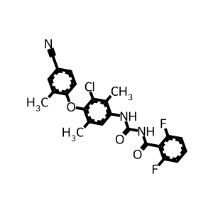 Cc1cc(C#N)ccc1Oc1c(C)cc(NC(=O)NC(=O)c2c(F)cccc2F)c(C)c1Cl